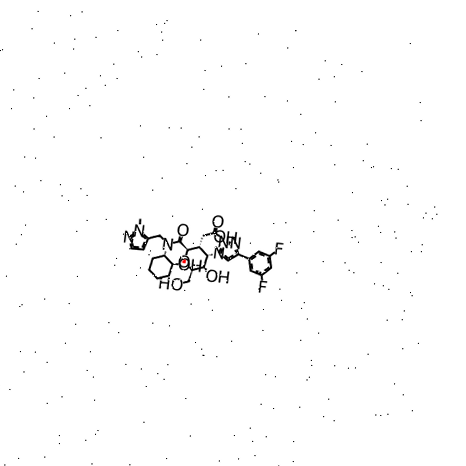 Cn1nccc1CN(C(=O)[C@@H]1O[C@H](CO)[C@H](O)[C@@H](n2cc(-c3cc(F)cc(F)c3)nn2)[C@H]1CC(=O)O)[C@H]1CCCC[C@@H]1O